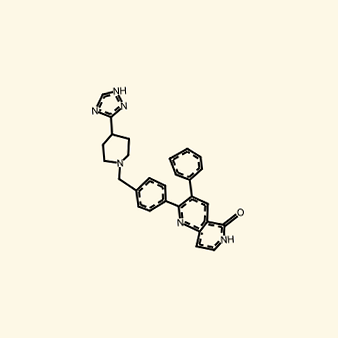 O=c1[nH]ccc2nc(-c3ccc(CN4CCC(c5nc[nH]n5)CC4)cc3)c(-c3ccccc3)cc12